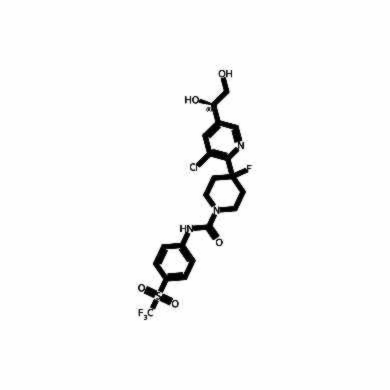 O=C(Nc1ccc(S(=O)(=O)C(F)(F)F)cc1)N1CCC(F)(c2ncc([C@@H](O)CO)cc2Cl)CC1